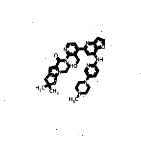 CN1CCN(c2ccc(Nc3cc(-c4ccnc(N5CCn6c(cc7c6CC(C)(C)C7)C5=O)c4CO)nc4ccoc34)nc2)CC1